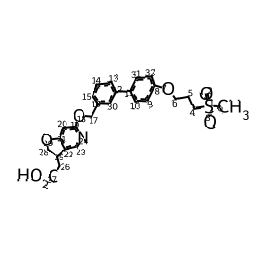 CS(=O)(=O)CCCOc1ccc(-c2cccc(COc3cc4c(cn3)C(CC(=O)O)CO4)c2)cc1